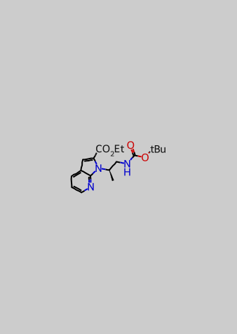 CCOC(=O)c1cc2cccnc2n1[C@H](C)CNC(=O)OC(C)(C)C